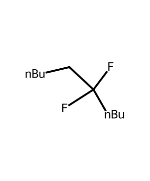 [CH2]CCCC(F)(F)CCCCC